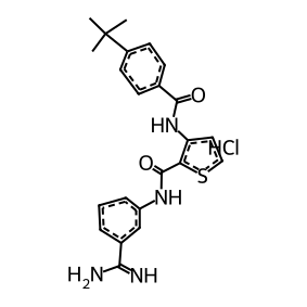 CC(C)(C)c1ccc(C(=O)Nc2ccsc2C(=O)Nc2cccc(C(=N)N)c2)cc1.Cl